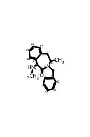 CNC1C(=O)N(Cc2ccccc2)C(C)Cc2ccccc21